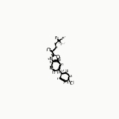 O=C(CCC(F)(F)F)c1nc2ncc(-c3ccc(Cl)cc3)cc2o1